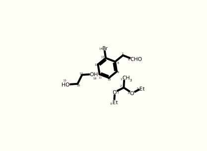 CCOC(C)OCC.O=CCc1ccccc1Br.OCCO